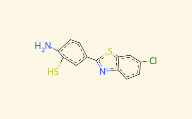 Nc1ccc(-c2nc3ccc(Cl)cc3s2)cc1S